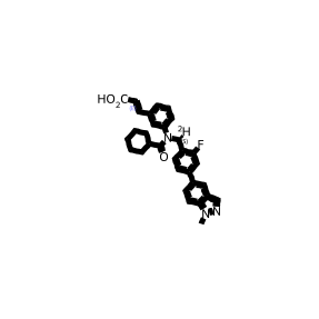 [2H][C@@H](c1ccc(-c2ccc3c(cnn3C)c2)cc1F)N(C(=O)C1CCCCC1)c1cccc(/C=C/C(=O)O)c1